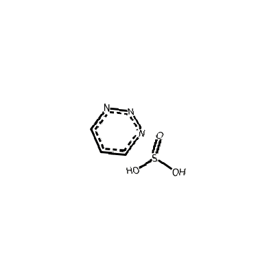 O=S(O)O.c1cnnnc1